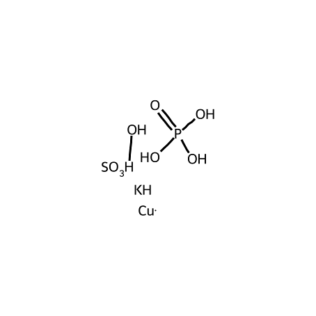 O=P(O)(O)O.O=S(=O)(O)O.[Cu].[KH]